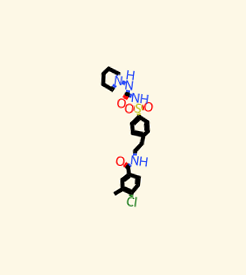 Cc1cc(C(=O)NCCc2ccc(S(=O)(=O)NC(=O)NN3CCCCC3)cc2)ccc1Cl